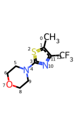 Cc1sc(N2CCOCC2)nc1C(F)(F)F